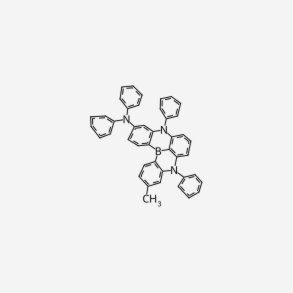 Cc1ccc2c(c1)N(c1ccccc1)c1cccc3c1B2c1ccc(N(c2ccccc2)c2ccccc2)cc1N3c1ccccc1